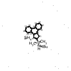 CC(C)(C)[NH][Ti]([CH3])([CH3])[C]1=Cc2c(c3ccccc3c3ccccc23)C1.[SiH4]